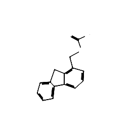 CSC(=S)OCc1cccc2c1Cc1ccccc1-2